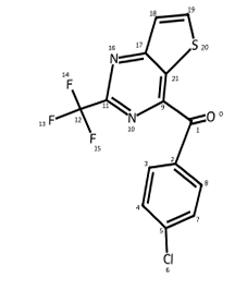 O=C(c1ccc(Cl)cc1)c1nc(C(F)(F)F)nc2ccsc12